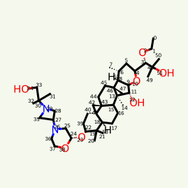 CCO[C@@H](C1C[C@@H](C)[C@H]2C(O1)[C@H](O)[C@@]1(C)C3CC[C@H]4C(C)(C)[C@@H](O[C@H]5CN(C6CN(C(C)(C)CO)C6)CCO5)CC[C@@]45C[C@@]35CC[C@]21C)C(C)(C)O